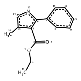 CCOC(=O)c1c(-c2ccccc2)nsc1C